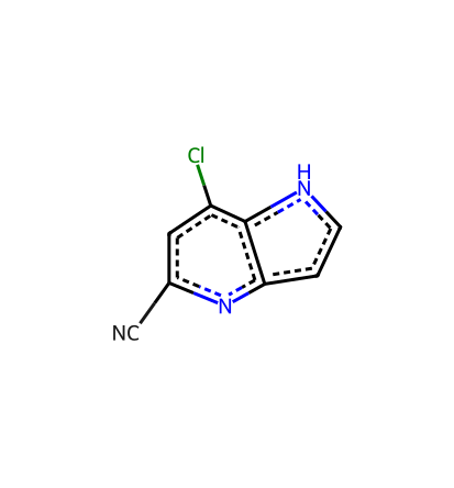 N#Cc1cc(Cl)c2[nH]ccc2n1